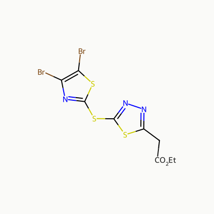 CCOC(=O)Cc1nnc(Sc2nc(Br)c(Br)s2)s1